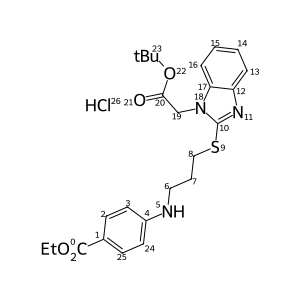 CCOC(=O)c1ccc(NCCCSc2nc3ccccc3n2CC(=O)OC(C)(C)C)cc1.Cl